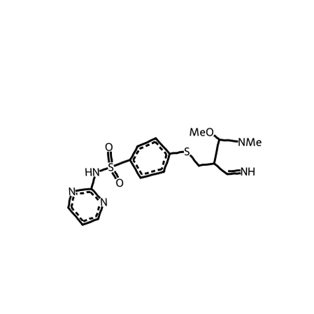 CNC(OC)C(C=N)CSc1ccc(S(=O)(=O)Nc2ncccn2)cc1